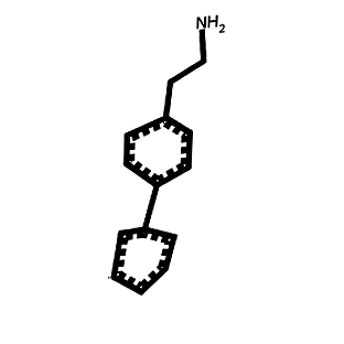 NCCc1ccc(-c2c[c]ccc2)cc1